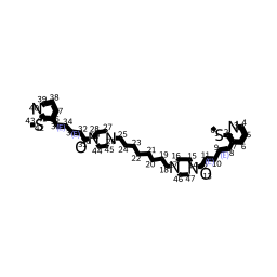 CSc1ncccc1/C=C/C=C/C(=O)N1CCN(CCCCCCCCN2CCN(C(=O)/C=C/C=C/c3cccnc3SC)CC2)CC1